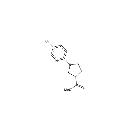 COC(=O)C1CCN(c2ccc(Cl)cn2)C1